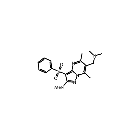 CNc1nn2c(C)c(CN(C)C)c(C)nc2c1S(=O)(=O)c1ccccc1